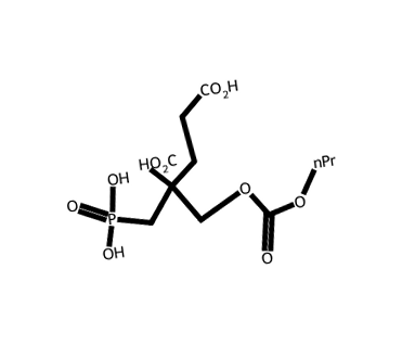 CCCOC(=O)OCC(CCC(=O)O)(CP(=O)(O)O)C(=O)O